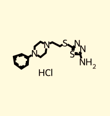 Cl.Nc1nnc(SCCN2CCN(c3ccccc3)CC2)s1